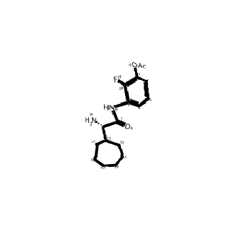 CC(=O)Oc1cccc(NC(=O)[C@@H](N)C2CCCCCC2)c1F